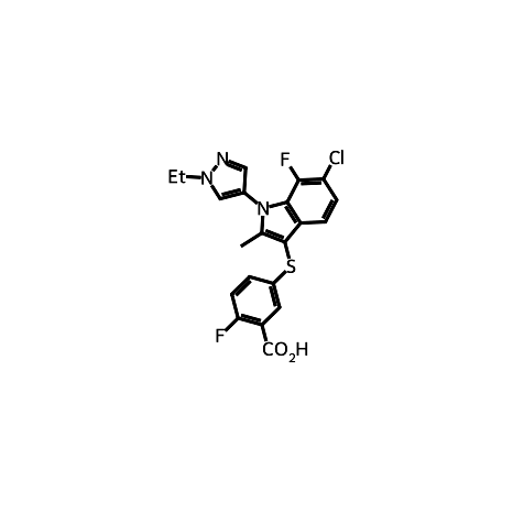 CCn1cc(-n2c(C)c(Sc3ccc(F)c(C(=O)O)c3)c3ccc(Cl)c(F)c32)cn1